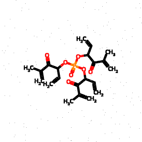 C=CC(OP(=O)(OC(C=C)C(=O)C(=C)C)OC(C=C)C(=O)C(=C)C)C(=O)C(=C)C